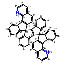 c1ccc2c(c1)C1=C(c3ccccc3C13c1ccccc1-c1c3ccc3cccnc13)C21c2ccccc2-c2c1ccc1cccnc21